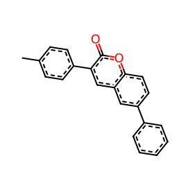 Cc1ccc(-c2cc3cc(-c4ccccc4)ccc3oc2=O)cc1